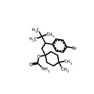 CC1(C)CCC(CC(c2ccc(Br)cc2)C(C)(C)C)(OC(N)=O)CC1